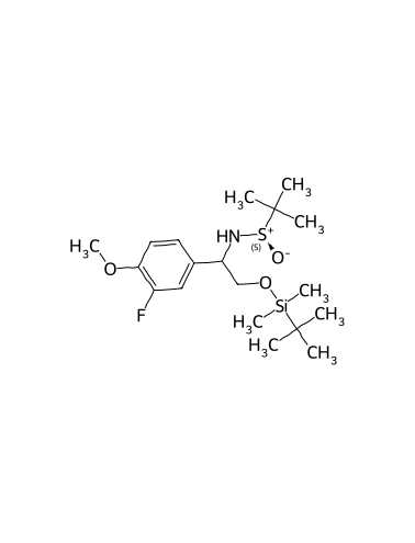 COc1ccc(C(CO[Si](C)(C)C(C)(C)C)N[S@+]([O-])C(C)(C)C)cc1F